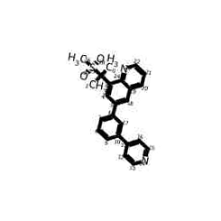 CC(C)(c1cc(-c2cccc(-c3ccncc3)c2)cc2cccnc12)S(C)(=O)=O